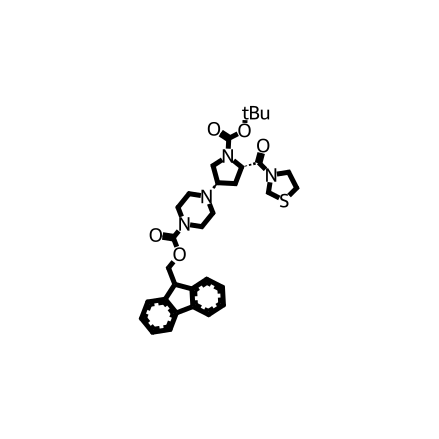 CC(C)(C)OC(=O)N1C[C@@H](N2CCN(C(=O)OCC3c4ccccc4-c4ccccc43)CC2)C[C@H]1C(=O)N1CCSC1